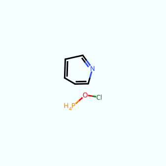 [PH4]OCl.c1ccncc1